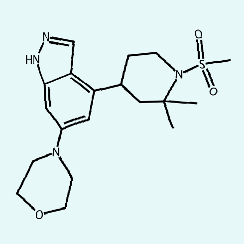 CC1(C)CC(c2cc(N3CCOCC3)cc3[nH]ncc23)CCN1S(C)(=O)=O